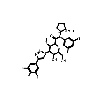 COC1C(C(=O)N(c2cc(C)cc(Cl)c2)[C@H]2CCC[C@@H]2O)OC(CO)C(O)C1n1cc(-c2cc(F)c(F)c(F)c2)nn1